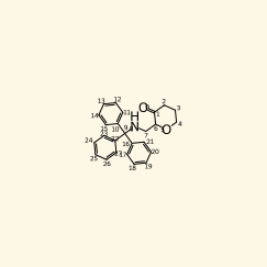 O=C1CCCOC1CNC(c1ccccc1)(c1ccccc1)c1ccccc1